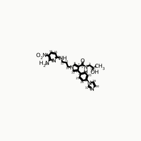 C[C@H](O)CNC(=O)c1cn(CCCNc2ccc([N+](=O)[O-])c(N)n2)cc1-c1ccc(-n2ccnc2)cc1